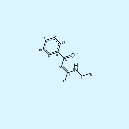 CCNC(C)=CC(=O)c1ccccc1